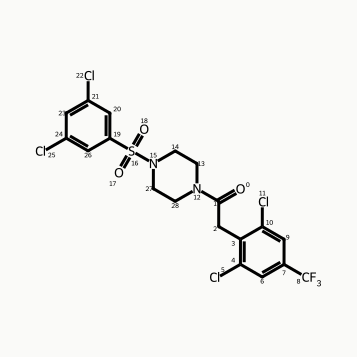 O=C(Cc1c(Cl)cc(C(F)(F)F)cc1Cl)N1CCN(S(=O)(=O)c2cc(Cl)cc(Cl)c2)CC1